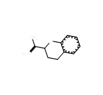 C=C(C)C1CCc2ccccc2O1